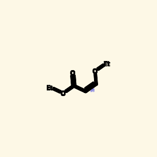 CCO/C=C\C(=O)OCC